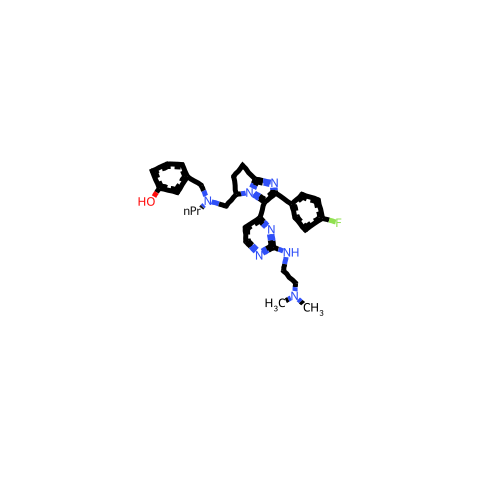 CCCN(Cc1cccc(O)c1)CC1CCc2nc(-c3ccc(F)cc3)c(-c3ccnc(NCCN(C)C)n3)n21